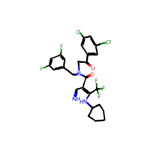 N=C/C(C(=O)N(CC(=O)c1cc(Cl)cc(Cl)c1)Cc1cc(F)cc(F)c1)=C(\NC1CCCCC1)C(F)(F)F